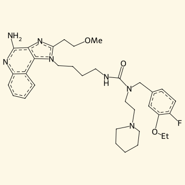 CCOc1cc(CN(CCN2CCCCC2)C(=O)NCCCCn2c(CCOC)nc3c(N)nc4ccccc4c32)ccc1F